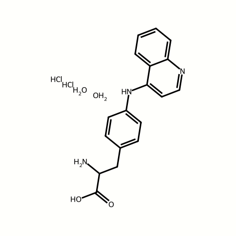 Cl.Cl.NC(Cc1ccc(Nc2ccnc3ccccc23)cc1)C(=O)O.O.O